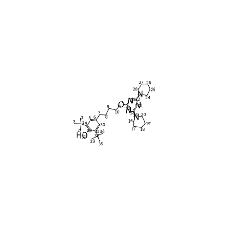 CC(C)(C)c1cc(CCCCOc2nc(N3CCCCC3)nc(N3CCCCC3)n2)cc(C(C)(C)C)c1O